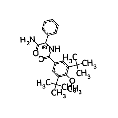 COc1c(C(C)(C)C)cc(C(=O)N[C@@H](C(N)=O)c2ccccc2)cc1C(C)(C)C